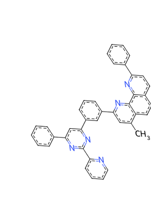 Cc1cc(-c2cccc(-c3cc(-c4ccccc4)nc(-c4ccccn4)n3)c2)nc2c1ccc1ccc(-c3ccccc3)nc12